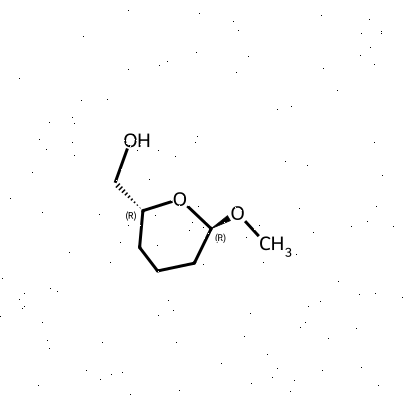 CO[C@H]1CCC[C@H](CO)O1